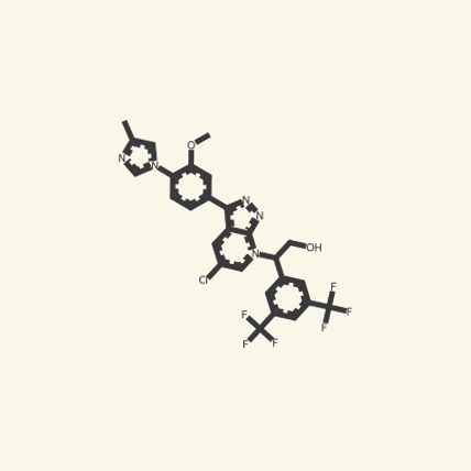 COc1cc(-c2nnc3n(C(CO)c4cc(C(F)(F)F)cc(C(F)(F)F)c4)cc(Cl)cc2-3)ccc1-n1cnc(C)c1